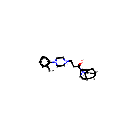 COc1ccccc1N1CCN(CCC(=O)N2CC3CC4CC(C3)CC2C4)CC1